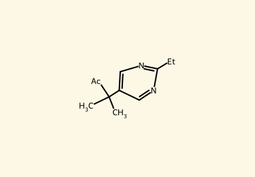 CCc1ncc(C(C)(C)C(C)=O)cn1